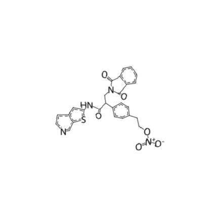 O=C(Nc1cc2ccncc2s1)C(CN1C(=O)c2ccccc2C1=O)c1ccc(CCO[N+](=O)[O-])cc1